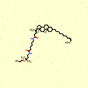 CCCCCCCC/C=C\CCCCCCCCC1CC[C@@]2(C)C(CCC3C2CC[C@@]2(C)C3CC[C@@H]2[C@H](C)CCC(=O)NCCCCCC(=O)NCCC(C)(C)OCCC(C)C)C1